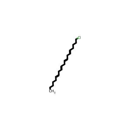 CCCCCC=CCC=CCC=CCC=CCCCCCl